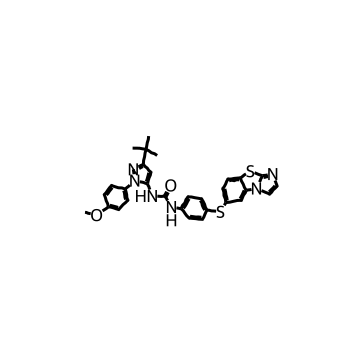 COc1ccc(-n2nc(C(C)(C)C)cc2NC(=O)Nc2ccc(Sc3ccc4sc5nccn5c4c3)cc2)cc1